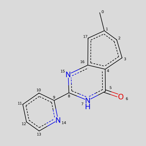 Cc1ccc2c(=O)[nH]c(-c3ccccn3)nc2c1